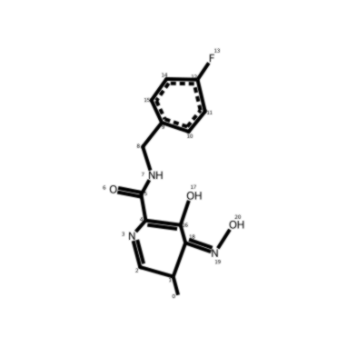 CC1C=NC(C(=O)NCc2ccc(F)cc2)=C(O)/C1=N\O